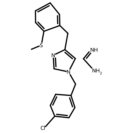 CSc1ccccc1Cc1cn(Cc2ccc(Cl)cc2)cn1.N=CN